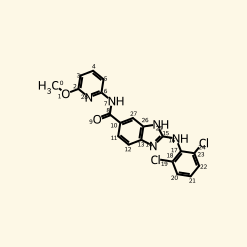 COc1cccc(NC(=O)c2ccc3nc(Nc4c(Cl)cccc4Cl)[nH]c3c2)n1